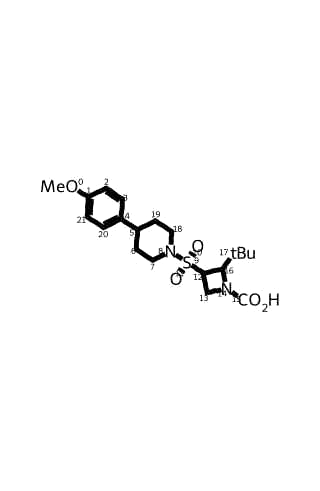 COc1ccc(C2CCN(S(=O)(=O)C3CN(C(=O)O)C3C(C)(C)C)CC2)cc1